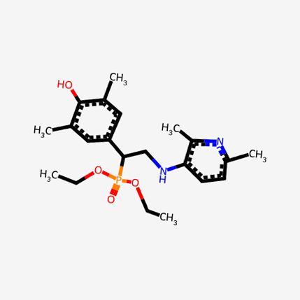 CCOP(=O)(OCC)C(CNc1ccc(C)nc1C)c1cc(C)c(O)c(C)c1